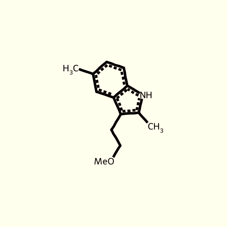 COCCc1c(C)[nH]c2ccc(C)cc12